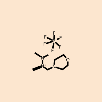 C=[N+](CN1CCOCC1)N(C)C.F[P-](F)(F)(F)(F)F